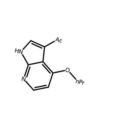 CCCOc1ccnc2[nH]cc(C(C)=O)c12